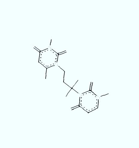 Cc1cc(=O)n(C(C)(C)C)c(=O)n1CCC(C)(C)n1c(=O)ccn(C)c1=O